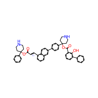 O=C(/C=C/c1cccc2cc(-c3ccc(C4(OC(=O)c5cccc(-c6ccccc6)c5O)CCNCC4)cc3)ccc12)OC1(c2ccccc2)CCNCC1